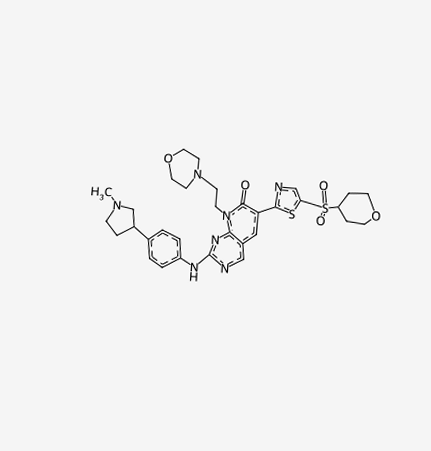 CN1CCC(c2ccc(Nc3ncc4cc(-c5ncc(S(=O)(=O)C6CCOCC6)s5)c(=O)n(CCN5CCOCC5)c4n3)cc2)C1